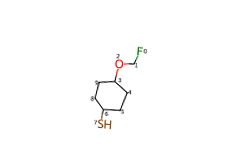 FCOC1CCC(S)CC1